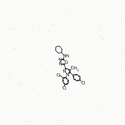 Cc1c(-c2nnc(NC3CCCCC3)o2)nn(-c2ccc(Cl)cc2Cl)c1-c1ccc(Cl)cc1